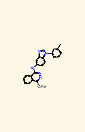 COc1nnc(Nc2ccc3c(c2)ncn3-c2cccc(C)c2)c2ccccc12